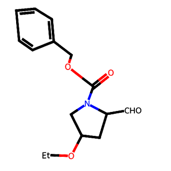 CCOC1CC(C=O)N(C(=O)OCc2ccccc2)C1